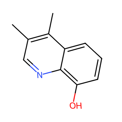 Cc1cnc2c(O)cccc2c1C